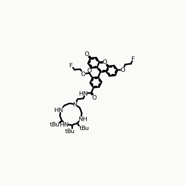 CC(C)(C)C1CNCCN(CCNC(=O)c2ccc(-c3c4ccc(=O)cc-4oc4cc(OCCF)ccc34)c(C(=O)OCCF)c2)CCNC(C(C)(C)C)C(C(C)(C)C)N1